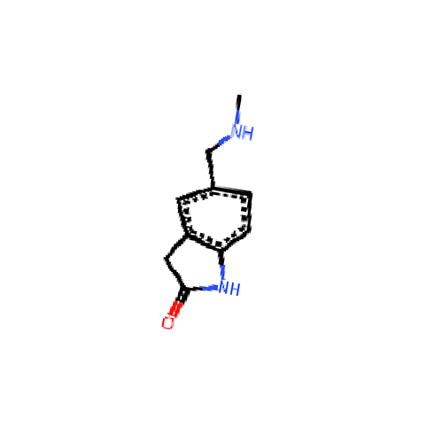 CNCc1ccc2c(c1)CC(=O)N2